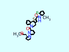 COCC[C@@H]1CCCN1c1cccc(C(=O)N2CCc3cc(C(=O)Nc4c(C)cccc4F)sc3-c3ccccc32)n1